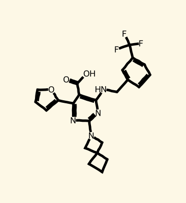 O=C(O)c1c(NCc2cccc(C(F)(F)F)c2)nc(N2CC3(CCC3)C2)nc1-c1ccco1